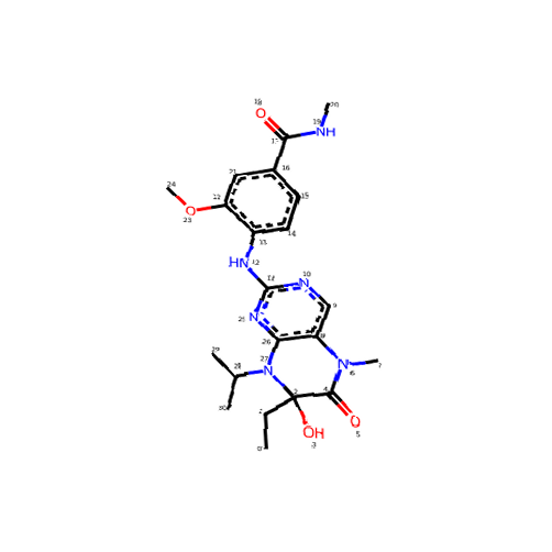 CCC1(O)C(=O)N(C)c2cnc(Nc3ccc(C(=O)NC)cc3OC)nc2N1C(C)C